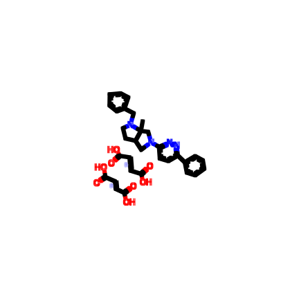 CC12CN(c3ccc(-c4ccccc4)nn3)CC1CCN2Cc1ccccc1.O=C(O)/C=C/C(=O)O.O=C(O)/C=C/C(=O)O